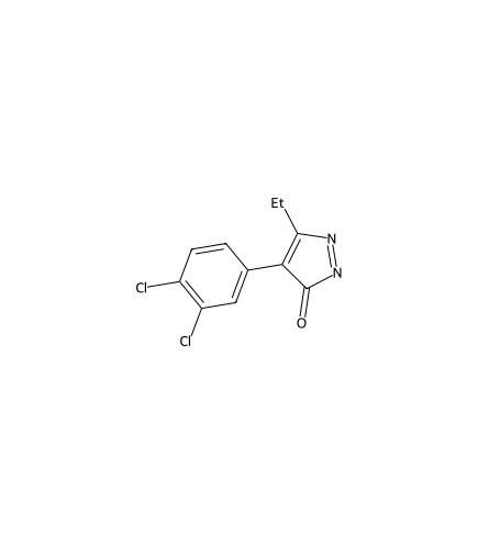 CCC1=C(c2ccc(Cl)c(Cl)c2)C(=O)N=N1